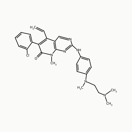 C=Cc1c(-c2ccccc2Cl)c(=O)n(C)c2nc(Nc3ccc(N(C)CCN(C)C)cc3)ncc12